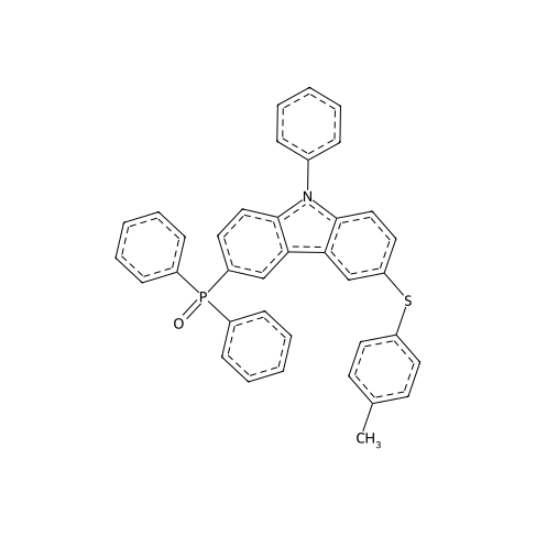 Cc1ccc(Sc2ccc3c(c2)c2cc(P(=O)(c4ccccc4)c4ccccc4)ccc2n3-c2ccccc2)cc1